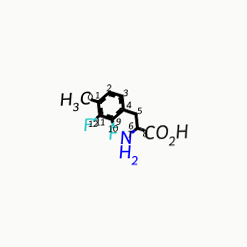 Cc1ccc(CC(N)C(=O)O)c(F)c1F